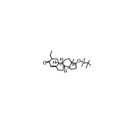 CCC1C[C@H]2C(=CC1=O)CC[C@@H]1[C@@H]2CC[C@]2(C)C(O[Si](C)(C)C(C)(C)C)CC[C@@H]12